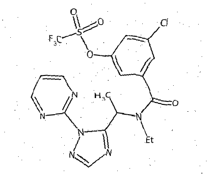 CCN(C(=O)c1cc(Cl)cc(OS(=O)(=O)C(F)(F)F)c1)C(C)c1ncnn1-c1ncccn1